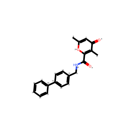 Cc1cc(=O)c(C)c(C(=O)NCc2ccc(-c3ccccc3)cc2)o1